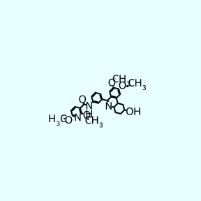 CCOc1cc2c(cc1OC)C(c1cccc(NC(=O)c3ccc(OC)nc3OC)c1)=NC1CCC(O)CC21